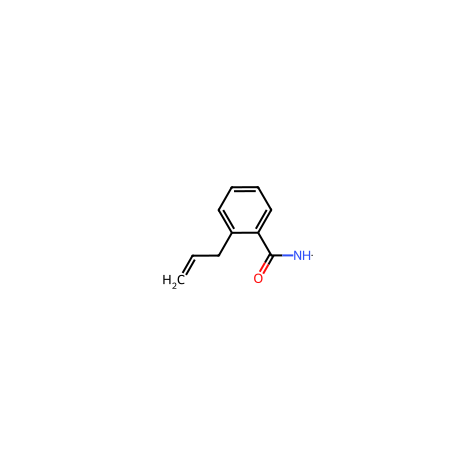 C=CCc1ccccc1C([NH])=O